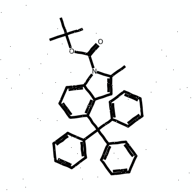 Cc1cc2c(C(c3ccccc3)(c3ccccc3)c3ccccc3)cccc2n1C(=O)OC(C)(C)C